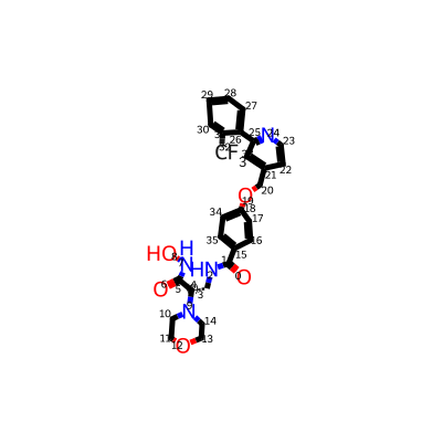 O=C(NC[C@@H](C(=O)NO)N1CCOCC1)c1ccc(OCc2ccnc(-c3ccccc3C(F)(F)F)c2)cc1